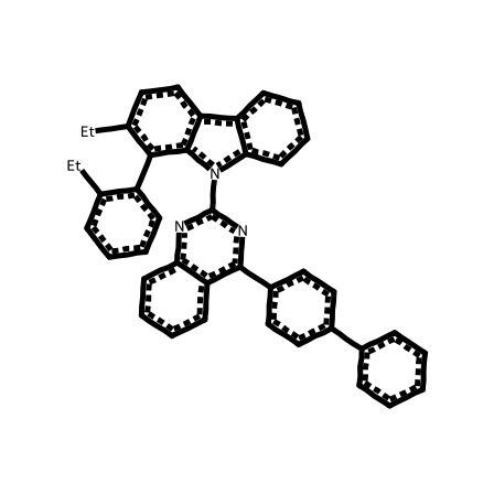 CCc1ccccc1-c1c(CC)ccc2c3ccccc3n(-c3nc(-c4ccc(-c5ccccc5)cc4)c4ccccc4n3)c12